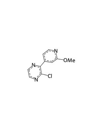 COc1cc(-c2nccnc2Cl)ccn1